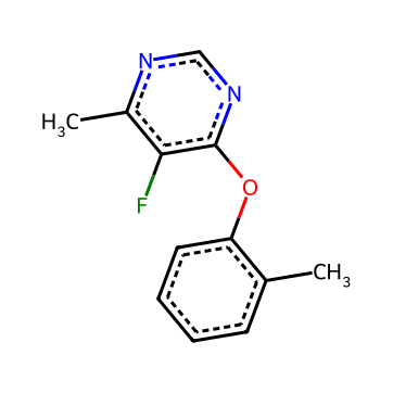 Cc1ccccc1Oc1ncnc(C)c1F